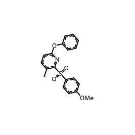 [CH2]c1ccc(Oc2ccccc2)nc1S(=O)(=O)c1ccc(OC)cc1